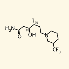 C[C@H](CCN1CCCC(C(F)(F)F)C1)[C@@H](O)CC(N)=O